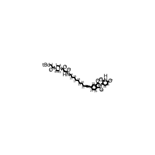 CC(C)(C)CC(=O)N1CCN(C(=O)CC(=O)NCCCCCCCCC#Cc2ccc3c(c2)C(=O)N(C2CCC(=O)NC2=O)C3=O)CC1